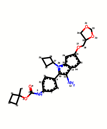 CC1(OC(=O)Nc2ccc(-c3c(N)c4ccc(OCC5COCO5)cc4n3C3CCC3)cc2)CCC1